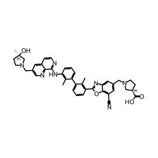 Cc1c(Nc2nccc3cc(CN4CC[C@@](C)(O)C4)cnc23)cccc1-c1cccc(-c2nc3cc(CN4CC[C@@H](C(=O)O)C4)cc(C#N)c3o2)c1C